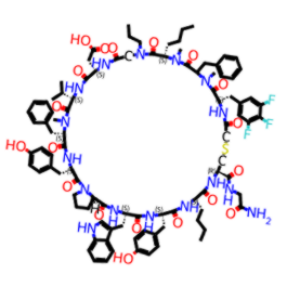 CCCC[C@@H]1NC(=O)[C@H](Cc2ccc(O)cc2)NC(=O)[C@H](Cc2c[nH]c3ccccc23)NC(=O)[C@H]2CCCN2C(=O)[C@H](Cc2ccc(O)cc2)NC(=O)[C@H](Cc2ccccc2)N(C)C(=O)[C@H](C(C)C)NC(=O)[C@H](CC(=O)O)NC(=O)CN(CCC)C(=O)[C@H](CCCC)N(C)C(=O)C(Cc2ccccc2)N(C)C(=O)[C@H](Cc2cc(F)c(F)c(F)c2)NC(=O)CSC[C@@H](C(=O)NCC(N)=O)NC1=O